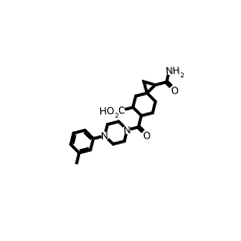 Cc1cccc(N2CCN(C(=O)C3CCC4(CC3C(=O)O)CC4C(N)=O)CC2)c1